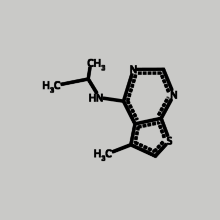 Cc1csc2ncnc(NC(C)C)c12